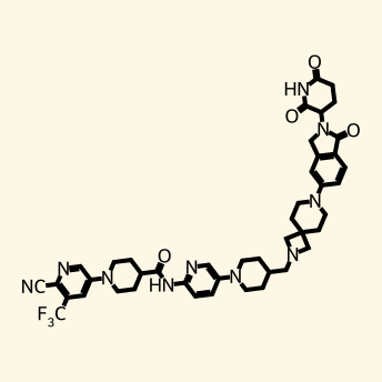 N#Cc1ncc(N2CCC(C(=O)Nc3ccc(N4CCC(CN5CC6(CCN(c7ccc8c(c7)CN(C7CCC(=O)NC7=O)C8=O)CC6)C5)CC4)cn3)CC2)cc1C(F)(F)F